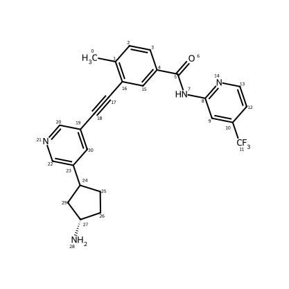 Cc1ccc(C(=O)Nc2cc(C(F)(F)F)ccn2)cc1C#Cc1cncc(C2CC[C@H](N)C2)c1